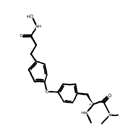 CN[C@@H](Cc1ccc(Oc2ccc(CCC(=O)NO)cc2)cc1)C(=O)N(C)C